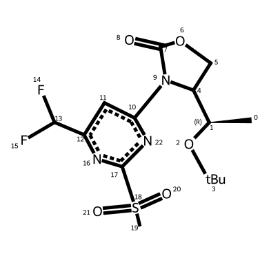 C[C@@H](OC(C)(C)C)C1COC(=O)N1c1cc(C(F)F)nc(S(C)(=O)=O)n1